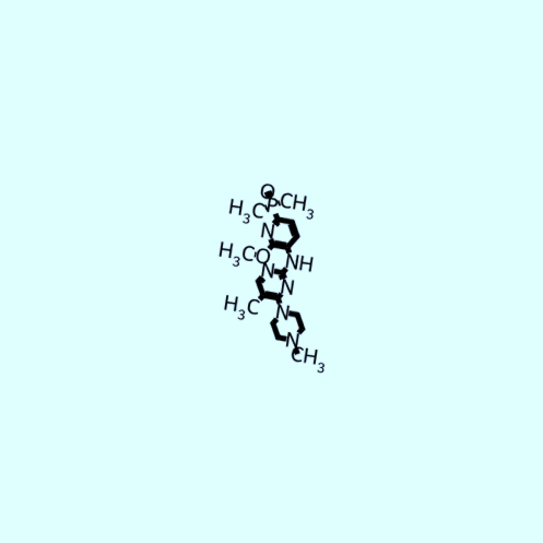 COc1nc(P(C)(C)=O)ccc1Nc1ncc(C)c(N2CCN(C)CC2)n1